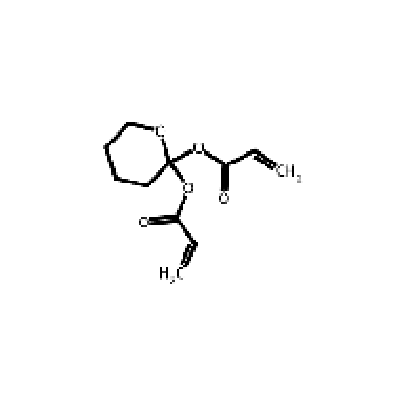 C=CC(=O)OC1(OC(=O)C=C)CCCCO1